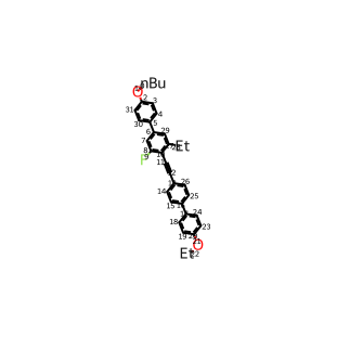 CCCCOc1ccc(-c2cc(F)c(C#Cc3ccc(-c4ccc(OCC)cc4)cc3)c(CC)c2)cc1